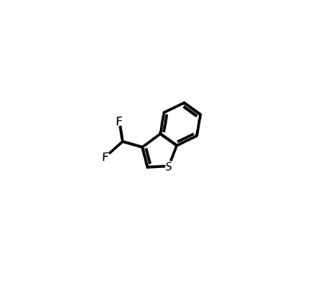 FC(F)c1csc2ccccc12